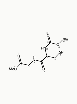 COC(=O)CNC(=O)C(CS)NC(=O)OC(C)(C)C